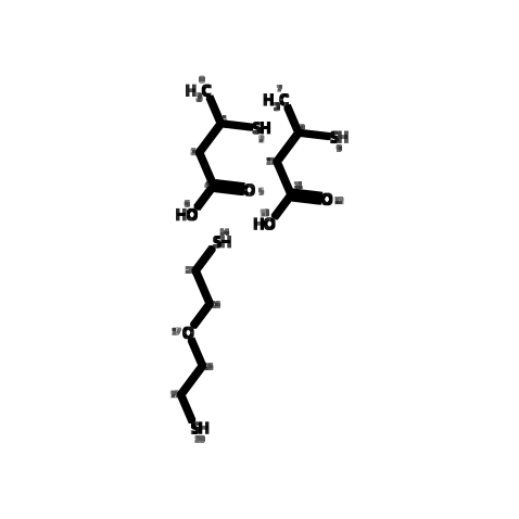 CC(S)CC(=O)O.CC(S)CC(=O)O.SCCOCCS